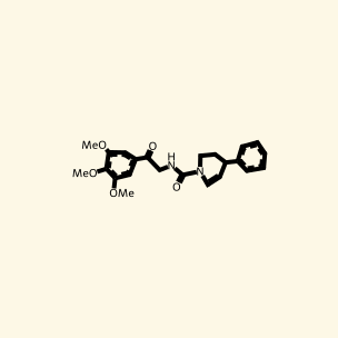 COc1cc(C(=O)CNC(=O)N2C=CC(c3ccccc3)CC2)cc(OC)c1OC